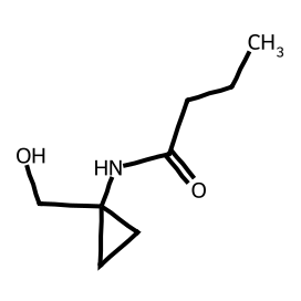 CCCC(=O)NC1(CO)CC1